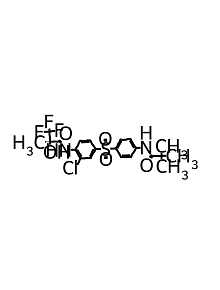 CC(C)(C)C(=O)Nc1ccc(S(=O)(=O)c2ccc(NC(=O)[C@@](C)(O)C(F)(F)F)c(Cl)c2)cc1